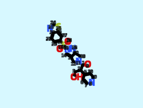 O=C(C(CO)c1ccncc1)N1Cc2cn(S(=O)(=O)c3ccc4ncsc4c3)nc2C1